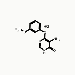 COc1cccc(Oc2nc[nH]c(=O)c2N)c1.Cl